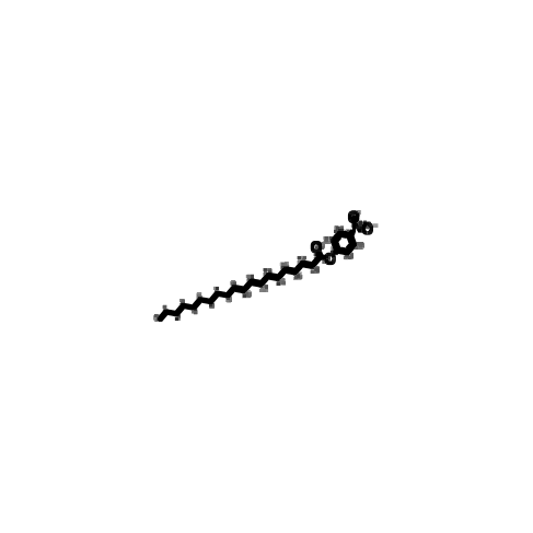 CCCCCCCCCC=CC=CC=CC=CC=CC(=O)Oc1ccc([N+](=O)[O-])cc1